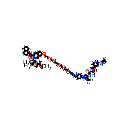 COCC(=O)N[C@H](C(=O)N1Cc2cc(OCCOCCOCCOCCOCCOCCNCc3ccc(-n4cc(NC(=O)c5coc(-c6ccnc(NCC7CC7)c6)n5)c(C(F)F)n4)cc3)ccc2CC1C(=O)N[C@@H]1CCCc2ccccc21)C(C)(C)C